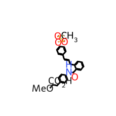 COC(Cc1ccc(NC(=O)c2ccccc2C/C=C/c2ccc(OS(C)(=O)=O)cc2)cc1)C(=O)O